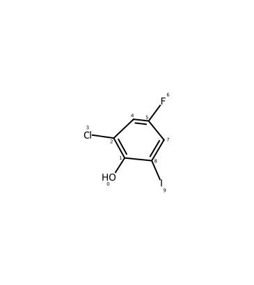 Oc1c(Cl)cc(F)cc1I